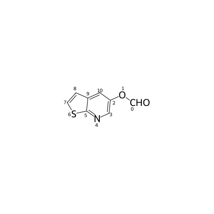 O=COc1cnc2sccc2c1